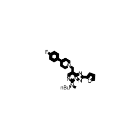 CCCCN(C)c1ncc(CN2CC=C(c3ccc(F)cc3)CC2)c2nc(-c3ccco3)nn12